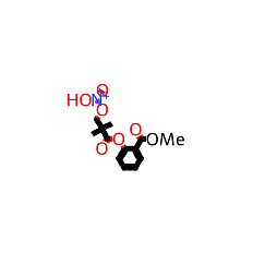 COC(=O)c1ccccc1OC(=O)C(C)(C)CO[N+](=O)O